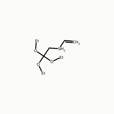 C=C[SiH2]CC(OCC)(OCC)OCC